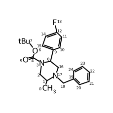 CC1CN(C(=O)OC(C)(C)C)C(c2ccc(F)cc2)CN1Cc1ccccc1